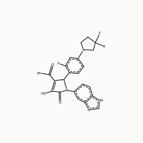 CC(C)C(=O)C1=C(O)C(=O)N(c2ccc3[nH]cnc3c2)C1c1ccc(N2CCC(F)(F)C2)cc1F